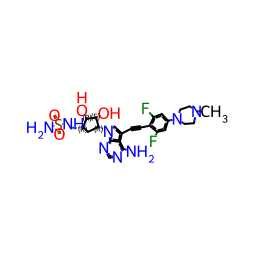 CN1CCN(c2cc(F)c(C#Cc3cn([C@@H]4C[C@H](CNS(N)(=O)=O)[C@@H](O)[C@H]4O)c4ncnc(N)c34)c(F)c2)CC1